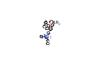 C=C1/C=C\C=C/Oc2c1ccc1c2C2(c3cc(-c4ccc(C5N=C(c6ccccc6)C=C(c6ccc7ccccc7c6)N5)cc4)ccc3-1)c1ccccc1C1(c3ccccc3-c3ccccc31)c1ccccc12